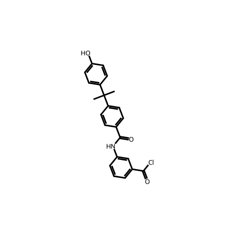 CC(C)(c1ccc(O)cc1)c1ccc(C(=O)Nc2cccc(C(=O)Cl)c2)cc1